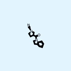 N#CN1CCC(C(=O)N2CCc3ccccc32)C1